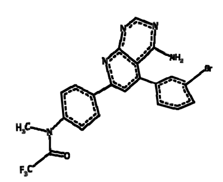 CN(C(=O)C(F)(F)F)c1ccc(-c2cc(-c3cccc(Br)c3)c3c(N)ncnc3n2)cc1